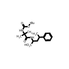 CC(CC(NC(=O)C(C)(C)NC(=O)OC(C)(C)C)C(=O)O)c1ccccc1